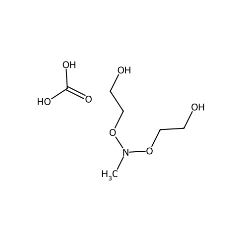 CN(OCCO)OCCO.O=C(O)O